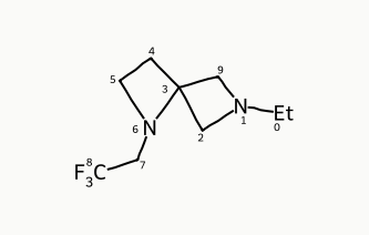 CCN1CC2(CCN2CC(F)(F)F)C1